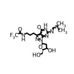 CN(C)/C=N/c1nc2c(c(CCCNC(=O)C(F)(F)F)nn2[C@H]2CC(O)[C@@H](CO)O2)c(=O)[nH]1